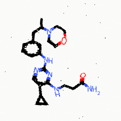 CC(Cc1cccc(Nc2ncc(C3CC3)c(NCCC(N)=O)n2)c1)N1CCOCC1